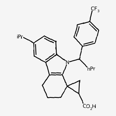 CCCC(c1ccc(C(F)(F)F)cc1)n1c2c(c3cc(C(C)C)ccc31)CCCC21CC1C(=O)O